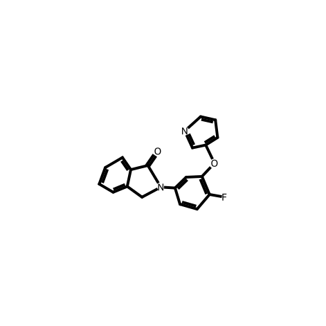 O=C1c2ccccc2CN1c1ccc(F)c(Oc2cccnc2)c1